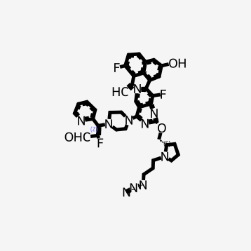 C#Cc1c(F)ccc2cc(O)cc(-c3ncc4c(N5CCN(/C(=C(\F)C=O)c6ccccn6)CC5)nc(OC[C@@H]5CCCN5CCCN=[N+]=[N-])nc4c3F)c12